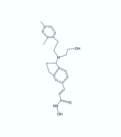 Cc1ccc(CCN(CCO)C2CCc3cc(C=CC(=O)NO)ccc32)c(C)c1